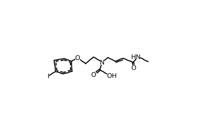 CNC(=O)C=CCN(CCOc1ccc(I)cc1)C(=O)O